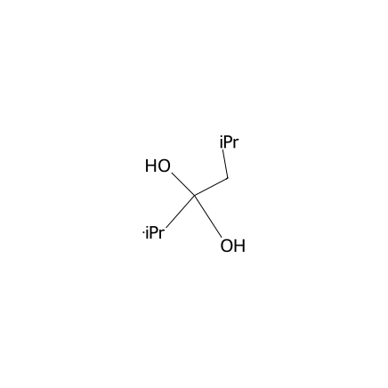 C[C](C)C(O)(O)CC(C)C